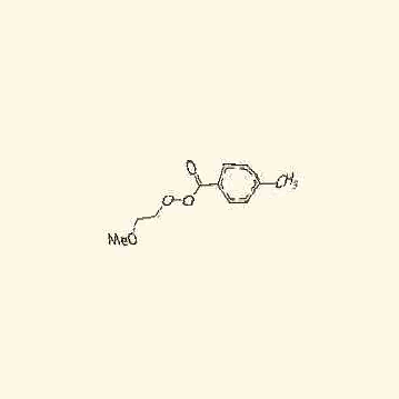 COC[CH]OOC(=O)c1ccc(C)cc1